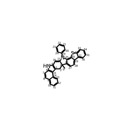 CC12Cc3c([nH]c4ccc5ccccc5c34)C=C1N(c1ccccc1)c1c2ccc2c1sc1ccccc12